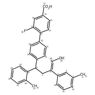 Cc1cc(C(CC(c2ccc(-c3ccc(C(=O)O)cc3F)cc2)c2ccccc2C)=NO)ccn1